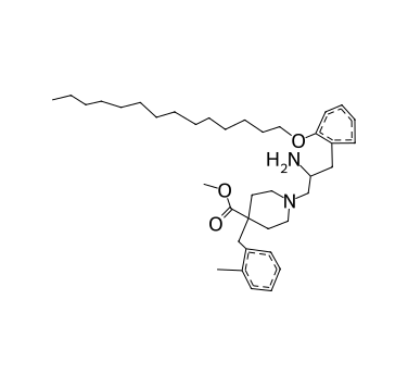 CCCCCCCCCCCCCCOc1ccccc1CC(N)CN1CCC(Cc2ccccc2C)(C(=O)OC)CC1